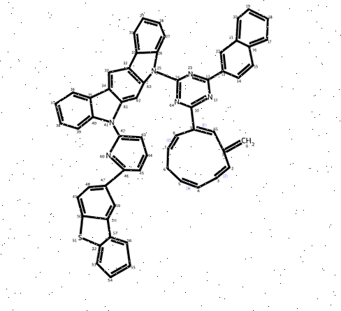 C=C1/C=C\C=C/C/C=C\C(c2nc(-c3ccc4ccccc4c3)nc(-n3c4ccccc4c4cc5c6ccccc6n(-c6cccc(-c7ccc8sc9ccccc9c8c7)n6)c5cc43)n2)=C/1